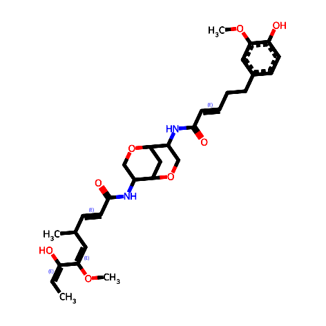 C/C=C(O)\C(=C/C(C)/C=C/C(=O)NC1COC2CC1OCC2NC(=O)/C=C/CCc1ccc(O)c(OC)c1)OC